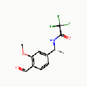 COc1cc([C@@H](C)NC(=O)C(F)(F)F)ccc1C=O